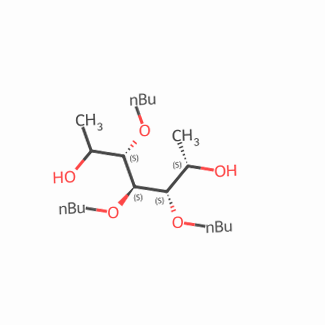 CCCCO[C@H]([C@@H](OCCCC)[C@@H](OCCCC)C(C)O)[C@H](C)O